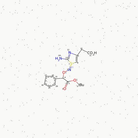 CC(C)(C)OC(=O)C(O/N=S1/C=C(CC(=O)O)N=C1N)c1ccccc1